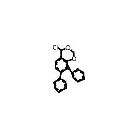 ClC1OCOc2c1ccc(-c1ccccc1)c2-c1ccccc1